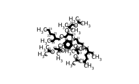 CCCCC(CC)COCC(CN(CC(COCC(CC)CCCC)OC(C)(C)COC(C)C)c1ccc(OC(C)(C)COC(C)C)cc1)OC(C)(C)COC(C)C